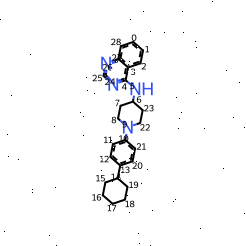 c1ccc2c(NC3CCN(c4ccc(C5CCCCC5)cc4)CC3)ncnc2c1